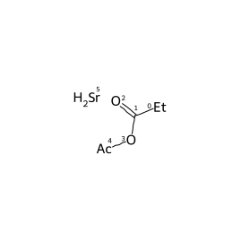 CCC(=O)OC(C)=O.[SrH2]